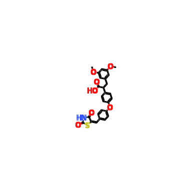 COc1cc(CC(C(=O)O)c2ccc(Oc3ccc(C=C4SC(=O)NC4=O)cc3)cc2)cc(OC)c1